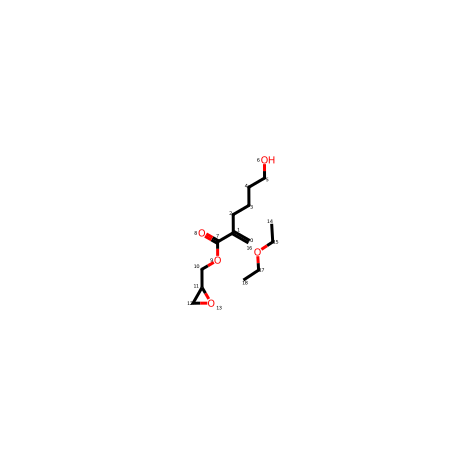 C=C(CCCCO)C(=O)OCC1CO1.CCOCC